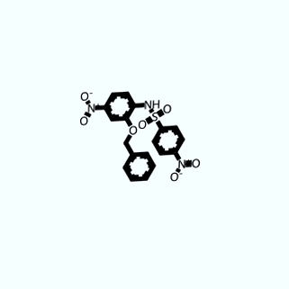 O=[N+]([O-])c1ccc(S(=O)(=O)Nc2ccc([N+](=O)[O-])cc2OCc2ccccc2)cc1